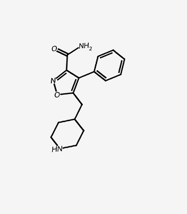 NC(=O)c1noc(CC2CCNCC2)c1-c1ccccc1